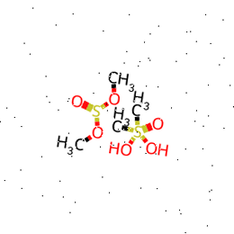 COS(=O)OC.CS(C)(=O)(O)O